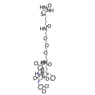 NC(=O)C(CCC(=O)NCCCOCCOCCOCCCNC(=O)CCCC[C@@H]1SCC2NC(=O)NC21)[C@H](Cc1ccccc1)C(=O)N1C/C(=C\c2ccc(Cl)c(Cl)c2)C(=O)/C(=C/c2ccc(Cl)c(Cl)c2)C1